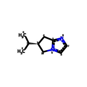 CC(C)[C@@H]1Cc2nccn2C1